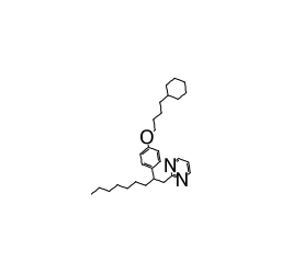 CCCCCCCC(Cc1ncccn1)c1ccc(OCCCCC2CCCCC2)cc1